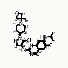 CC(C)Nc1cc2nc(Nc3cnn(C4CCN(C5(C)COC5)CC4)c3Cl)ncc2cc1Cl